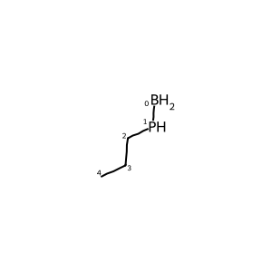 BPCCC